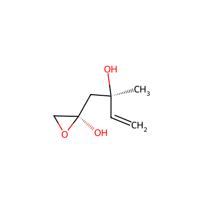 C=C[C@](C)(O)C[C@]1(O)CO1